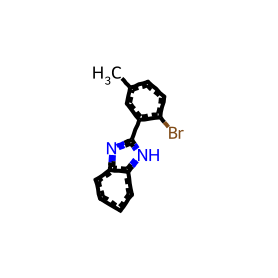 Cc1ccc(Br)c(-c2nc3ccccc3[nH]2)c1